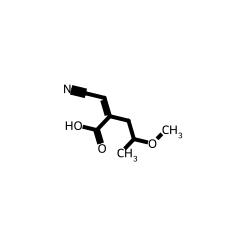 COC(C)CC(=CC#N)C(=O)O